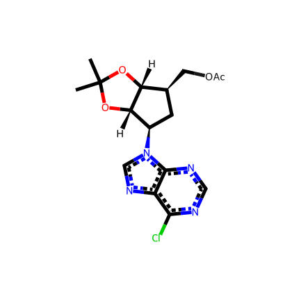 CC(=O)OC[C@H]1C[C@@H](n2cnc3c(Cl)ncnc32)[C@@H]2OC(C)(C)O[C@H]12